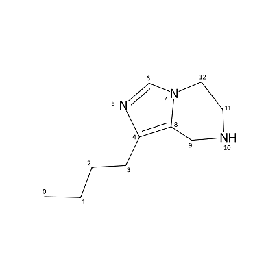 CCCCc1ncn2c1CNCC2